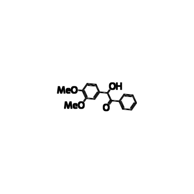 COc1ccc(C(O)C(=O)c2ccccc2)cc1OC